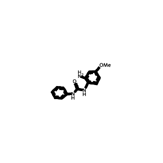 COc1ccc(NC(=O)Nc2ccccc2)c(N)c1